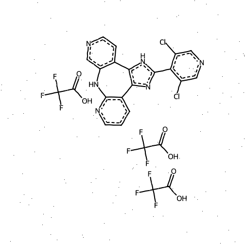 Clc1cncc(Cl)c1-c1nc2c([nH]1)-c1ccncc1Nc1ncccc1-2.O=C(O)C(F)(F)F.O=C(O)C(F)(F)F.O=C(O)C(F)(F)F